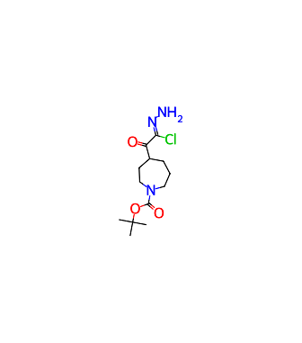 CC(C)(C)OC(=O)N1CCCC(C(=O)C(Cl)=NN)CC1